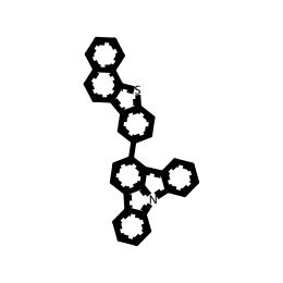 c1ccc2c(c1)ccc1c3cc(-c4ccc5c6ccccc6n6c7ccccc7c4c56)ccc3sc21